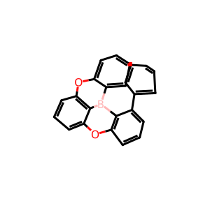 c1ccc(-c2cccc3c2B2c4ccccc4Oc4cccc(c42)O3)cc1